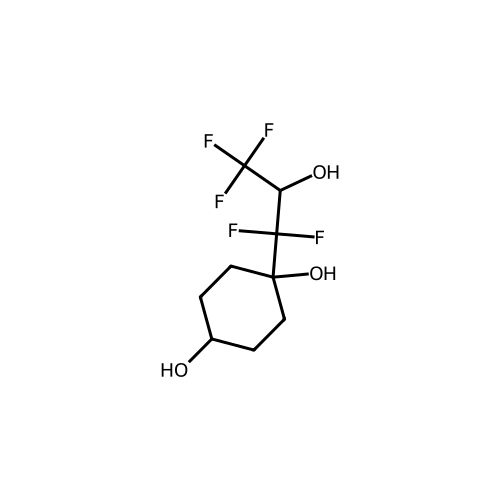 OC1CCC(O)(C(F)(F)C(O)C(F)(F)F)CC1